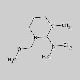 COCN1CCCN(C)C1N(C)C